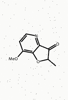 COc1ccnc2c1OC(C)C2=O